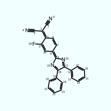 N#CC(C#N)=c1ccc(=C2N=C(c3ccccc3)C(c3ccccc3)=N2)cc1F